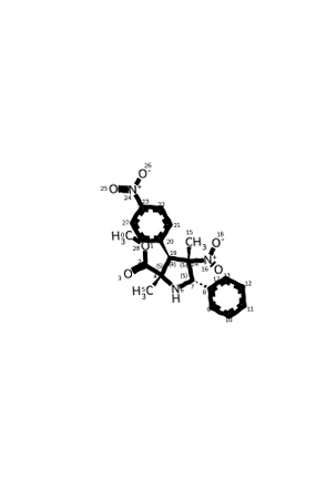 COC(=O)[C@@]1(C)N[C@@H](c2ccccc2)[C@@](C)([N+](=O)[O-])[C@@H]1c1ccc([N+](=O)[O-])cc1